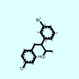 CC(O)C(Cc1ccc(Cl)cc1)c1cccc(Br)c1